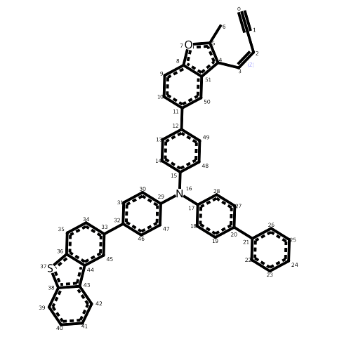 C#C/C=C\c1c(C)oc2ccc(-c3ccc(N(c4ccc(-c5ccccc5)cc4)c4ccc(-c5ccc6sc7ccccc7c6c5)cc4)cc3)cc12